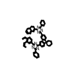 C=Cc1ccc(-c2nc(-c3ccccc3)nc(-c3ccc(C4(c5ccc(-c6nc(-c7ccccc7)nc(-c7ccc8ccccc8c7)n6)cc5)CCCCC4)cc3)n2)cc1/C=C\C